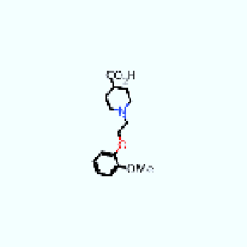 COc1ccccc1OCCN1CCC(C(=O)O)CC1